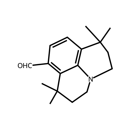 CC1(C)CCN2CCC(C)(C)c3c(C=O)ccc1c32